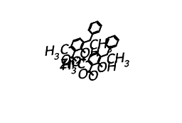 Cc1ccc(C(C)c2ccccc2)c(O)c1C(=O)[O-].Cc1ccc(C(C)c2ccccc2)c(O)c1C(=O)[O-].[Zn+2]